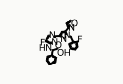 O=C(O)[C@@H](Nc1nc(-c2cc(-c3ccon3)n(Cc3ccccc3F)n2)ncc1F)c1ccccc1